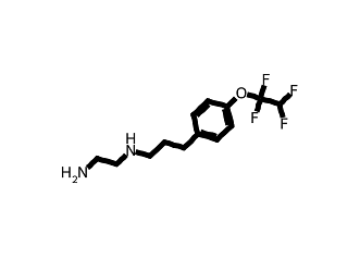 NCCNCCCc1ccc(OC(F)(F)C(F)F)cc1